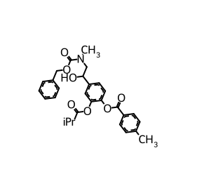 Cc1ccc(C(=O)Oc2ccc(C(O)CN(C)C(=O)OCc3ccccc3)cc2OC(=O)C(C)C)cc1